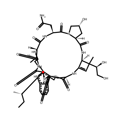 CC[C@H](C)[C@@H]1NC(=O)CNC(=O)[C@H]2Cc3c([nH]c4ccccc34)S[C@@H](C)[C@H](NC(=O)CNC1=O)C(=O)N[C@@H](CC(N)=O)C(=O)N1C[C@H](O)C[C@H]1C(=O)N[C@@H]1C(=CC1(C)[C@@H](O)CO)N2